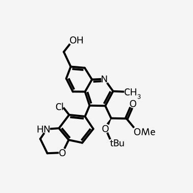 COC(=O)[C@@H](OC(C)(C)C)c1c(C)nc2cc(CO)ccc2c1-c1ccc2c(c1Cl)NCCO2